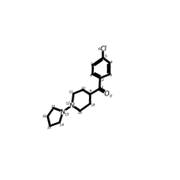 O=C(c1ccc(Cl)cc1)C1CCN(N2CCCC2)CC1